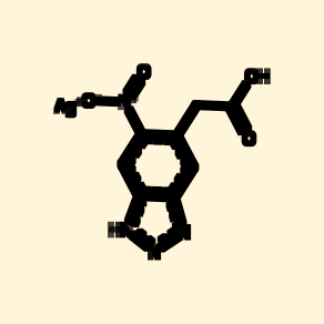 O=C(O)Cc1cc2nn[nH]c2cc1[N+](=O)[O-].[Ag+]